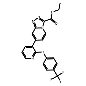 CCOC(=O)c1nnc2cc(-c3cccnc3Oc3ccc(C(F)(F)F)cc3)ccn12